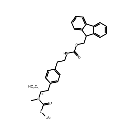 CN(C(=O)OC(C)(C)C)[C@@H](Cc1ccc(CCNC(=O)OCC2c3ccccc3-c3ccccc32)cc1)C(=O)O